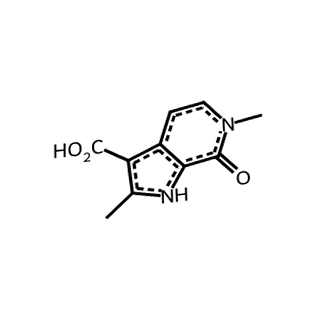 Cc1[nH]c2c(=O)n(C)ccc2c1C(=O)O